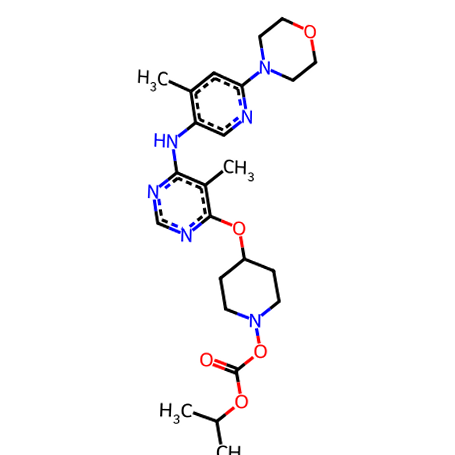 Cc1cc(N2CCOCC2)ncc1Nc1ncnc(OC2CCN(OC(=O)OC(C)C)CC2)c1C